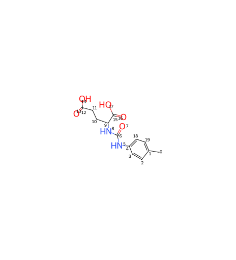 Cc1ccc(NC(=O)NC(CCC(=O)O)C(=O)O)cc1